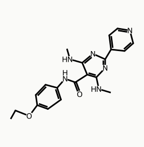 CCOc1ccc(NC(=O)c2c(NC)nc(-c3ccncc3)nc2NC)cc1